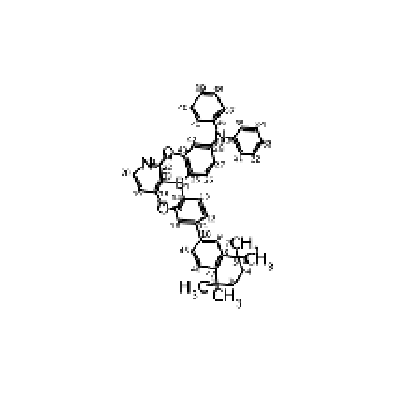 CC1(C)CCC(C)(C)c2cc(-c3ccc4c(c3)Oc3ccnc5c3B4c3ccc(N(c4ccccc4)c4ccccc4)cc3O5)ccc21